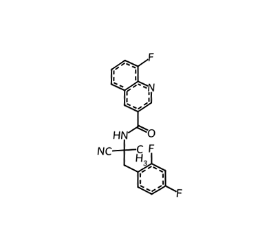 CC(C#N)(Cc1ccc(F)cc1F)NC(=O)c1cnc2c(F)cccc2c1